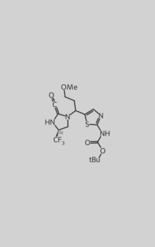 COCCC(c1cnc(NC(=O)OC(C)(C)C)s1)N1C[C@@H](C(F)(F)F)NC1=C=O